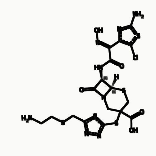 NCCSCc1nnc(SC2(C(=O)O)CS[C@@H]3[C@H](NC(=O)C(=NO)c4nc(N)sc4Cl)C(=O)N3C2)s1